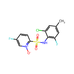 Cc1cc(F)c(NS(=O)(=O)c2ccc(F)c[n+]2[O-])c(Cl)c1